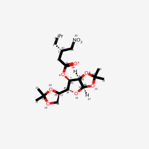 CC(C)C[C@@H](CC(=O)O[C@H]1[C@H]2OC(C)(C)O[C@H]2O[C@@H]1[C@H]1COC(C)(C)O1)C[N+](=O)[O-]